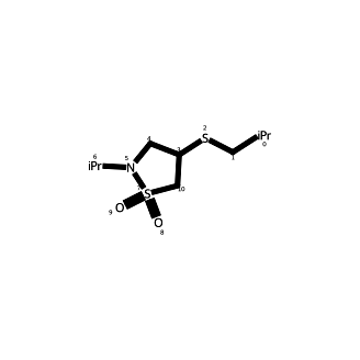 CC(C)CSC1CN(C(C)C)S(=O)(=O)C1